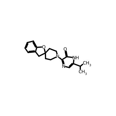 CC(C)c1cnc(N2CCC3(CC2)Cc2ccccc2O3)c(=O)[nH]1